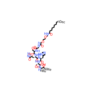 CCCCCCCCCCCCCCCCCC(=O)NCOCCOCC(=O)NCC(=O)NC(CO)C(O)N[C@@H](CCC(N)=O)C(=O)N[C@@H](Cc1cnc[nH]1)C(=O)N[C@@H](CO)C(O)N[C@@H](CCCC)C(=O)NC